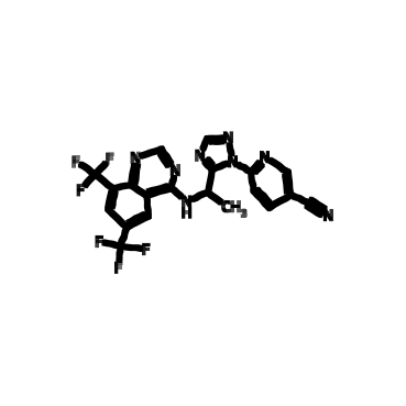 CC(Nc1ncnc2c(C(F)(F)F)cc(C(F)(F)F)cc12)c1ncnn1-c1ccc(C#N)cn1